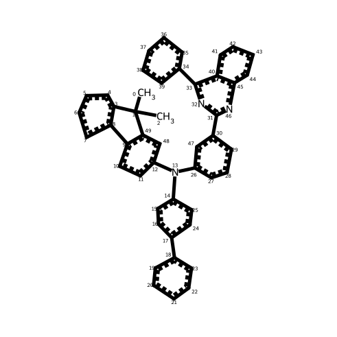 CC1(C)c2ccccc2-c2ccc(N(c3ccc(-c4ccccc4)cc3)c3cccc(-c4nc(-c5ccccc5)c5ccccc5n4)c3)cc21